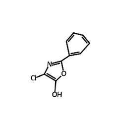 Oc1oc(-c2ccccc2)nc1Cl